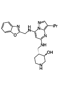 CC(C)c1cnn2c(NCc3nc4ccccc4o3)cc(NC[C@H]3CCNC[C@@H]3O)nc12